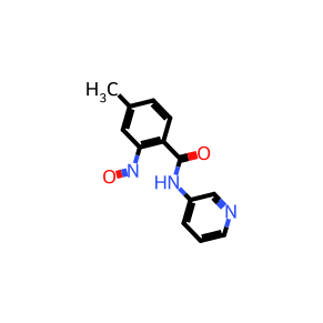 Cc1ccc(C(=O)Nc2cccnc2)c(N=O)c1